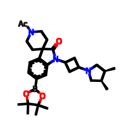 CC(=O)N1CCC2(CC1)C(=O)N(C1CC(N3C[C@@H](C)[C@@H](C)C3)C1)c1cc(B3OC(C)(C)C(C)(C)O3)ccc12